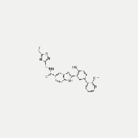 CCc1nc(CNC(=O)c2ccc3[nH]c(-c4cc(-c5cccnc5OC)ccc4O)nc3c2)no1